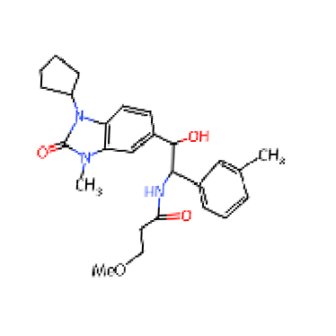 COCCC(=O)NC(c1cccc(C)c1)C(O)c1ccc2c(c1)n(C)c(=O)n2C1CCCC1